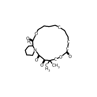 CC1(C)COC(=O)CCCCCCCCCOC(=O)[C@@H]2CCCCN2C(=O)C1=O